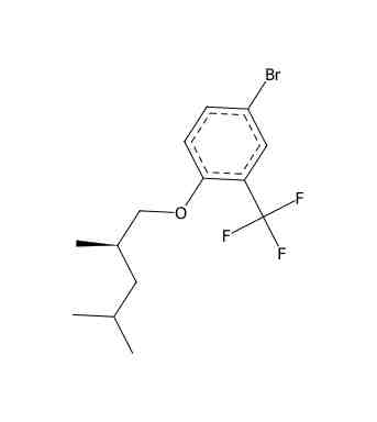 CC(C)C[C@@H](C)COc1ccc(Br)cc1C(F)(F)F